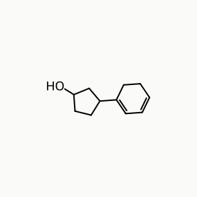 OC1CCC(C2=CC=CCC2)C1